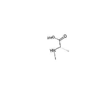 COC(=O)[C@H](C)NI